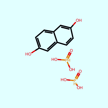 O=[PH](O)O.O=[PH](O)O.Oc1ccc2cc(O)ccc2c1